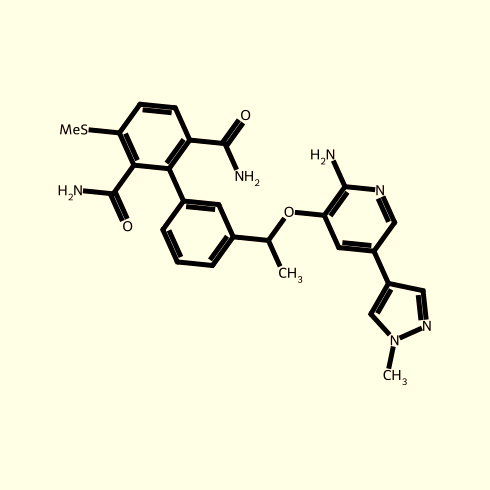 CSc1ccc(C(N)=O)c(-c2cccc(C(C)Oc3cc(-c4cnn(C)c4)cnc3N)c2)c1C(N)=O